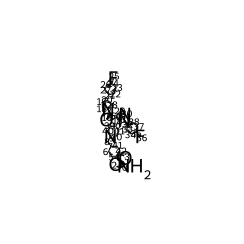 NS(=O)(=O)c1ccc(CN2CCC(c3c(C(=O)N4CC[C@H](c5ccc(F)cc5)C4)cnn3-c3ccc(F)cc3)CC2)cc1